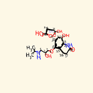 CC(C)NCC(O)COc1ccc(O)c2c1CCC(=O)N2.O=C(O)/C=C\C(=O)O